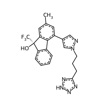 Cc1cc(-c2cnn(CCCc3nn[nH]n3)c2)c2c(c1)[C@@](O)(C(F)(F)F)c1ccccc1-2